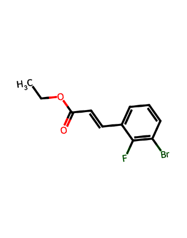 CCOC(=O)/C=C/c1cccc(Br)c1F